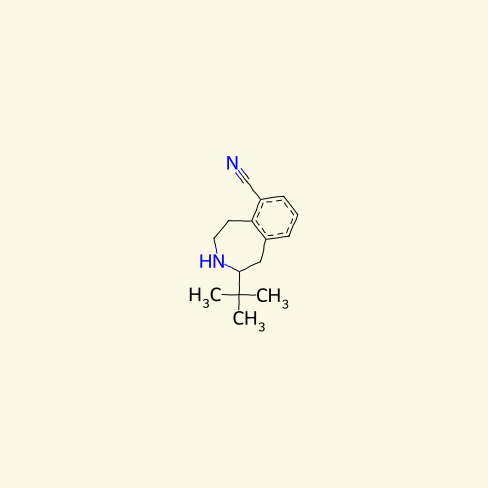 CC(C)(C)C1Cc2cccc(C#N)c2CCN1